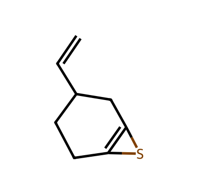 C=CC1CCC2=C(C1)S2